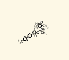 Cc1c(N[C@@H](C)CO[C@H]2C(=O)N(C3CCN(c4ncc(C(F)(F)F)cn4)CC3)C[C@@H]2C)cn[nH]c1=O